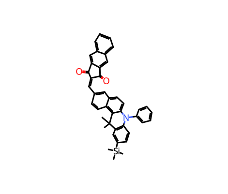 CC1(C)c2cc([Si](C)(C)C)ccc2N(c2ccccc2)c2ccc3cc(C=C4C(=O)c5cc6ccccc6cc5C4=O)ccc3c21